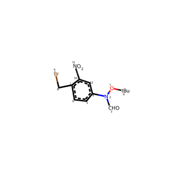 CC(C)(C)ON(C=O)c1ccc(CBr)c([N+](=O)[O-])c1